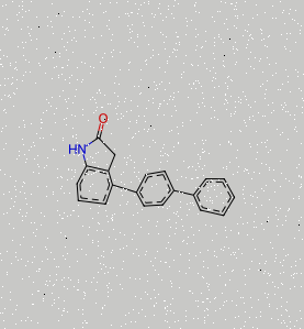 O=C1Cc2c(cccc2-c2ccc(-c3ccccc3)cc2)N1